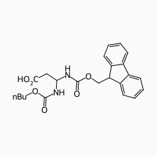 CCCCOC(=O)NC(CC(=O)O)NC(=O)OCC1c2ccccc2-c2ccccc21